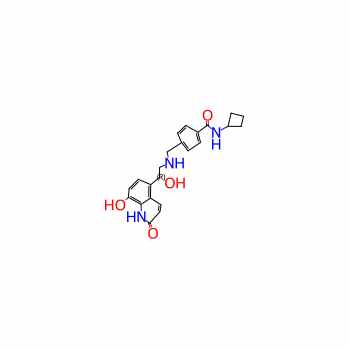 O=C(NC1CCC1)c1ccc(CNC[C@H](O)c2ccc(O)c3[nH]c(=O)ccc23)cc1